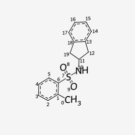 Cc1ccccc1S(=O)(=O)NC1Cc2ccccc2C1